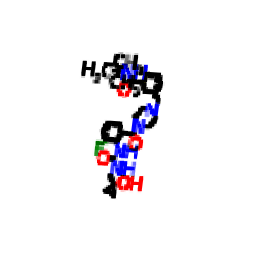 CC(C)(C)NC(=O)c1cccc(CN2CCN(C(=O)c3cccc(F)c3NC(=O)NCC3(O)CC3)CC2)c1